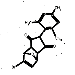 Cc1cc(C)c(C2C(=O)C3C4C=C(Br)C(O4)C3C2=O)c(C)c1